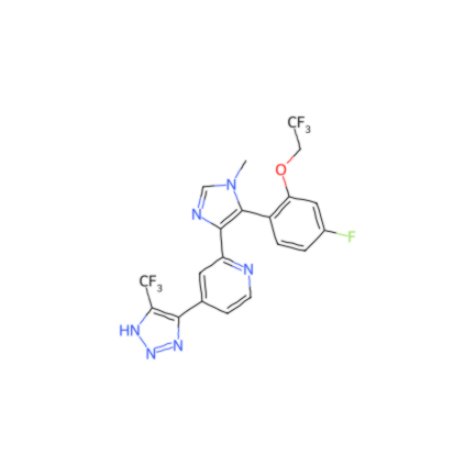 Cn1cnc(-c2cc(-c3nn[nH]c3C(F)(F)F)ccn2)c1-c1ccc(F)cc1OCC(F)(F)F